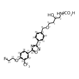 O=C(O)NCC(O)CCOCc1ccc(-c2noc(-c3ccc(OCCF)c(C(F)(F)F)c3)n2)cc1